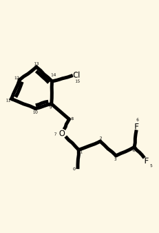 CC(CCC(F)F)OCc1ccccc1Cl